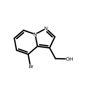 OCc1cnn2cccc(Br)c12